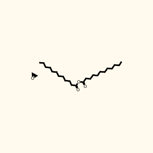 C1=CO1.CCCCCCCCCCCC(=O)OC(=O)CCCCCCCCCCC